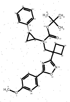 COc1ccc(-c2nc(C3(CN(C(=O)OC(C)(C)C)C4C[C@@H]4c4ccccc4)CCC3)no2)cn1